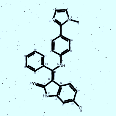 Cn1ccnc1-c1ccc(NC(=C2C(=O)Nc3cc(Cl)ccc32)c2ccccc2)cc1